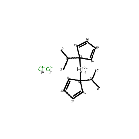 CC(C)[C]1([Hf+2][C]2(C(C)C)C=CC=C2)C=CC=C1.[Cl-].[Cl-]